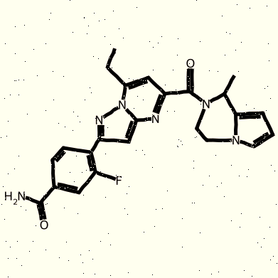 CCc1cc(C(=O)N2CCn3cccc3C2C)nc2cc(-c3ccc(C(N)=O)cc3F)nn12